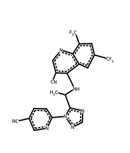 CC(Nc1c(C#N)cnc2c(C(F)(F)F)cc(C(F)(F)F)cc12)c1ncnn1-c1ccc(C#N)cn1